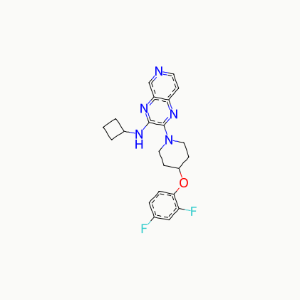 Fc1ccc(OC2CCN(c3nc4ccncc4nc3NC3CCC3)CC2)c(F)c1